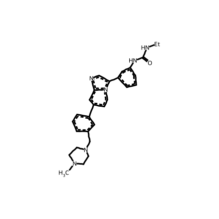 CCNC(=O)Nc1cccc(-c2cnc3cc(-c4cccc(CN5CCN(C)CC5)c4)ccn23)c1